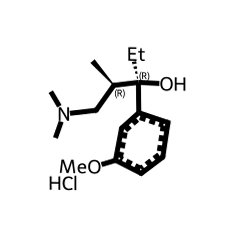 CC[C@](O)(c1cccc(OC)c1)[C@H](C)CN(C)C.Cl